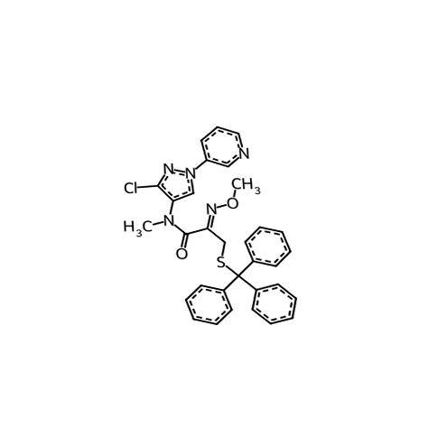 CO/N=C(\CSC(c1ccccc1)(c1ccccc1)c1ccccc1)C(=O)N(C)c1cn(-c2cccnc2)nc1Cl